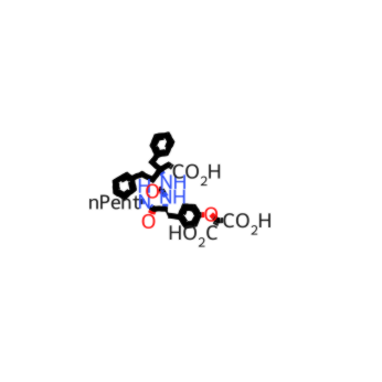 CCCCCNC(=O)[C@H](Cc1ccc(OC(C(=O)O)C(=O)O)cc1)NC(=O)NC(CCc1ccccc1)(CC(=O)O)Cc1ccccc1